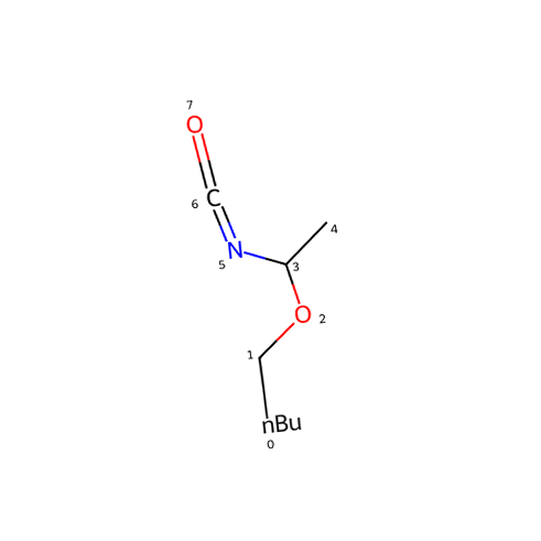 CCCCCOC(C)N=C=O